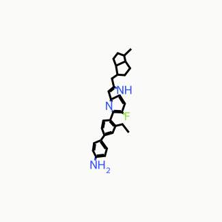 CCc1cc(-c2ccc(N)cc2)ccc1-c1nc2cc(CC3CCC4C(C)CCC34)[nH]c2cc1F